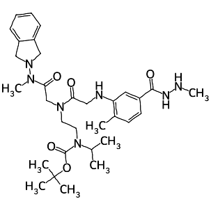 CNNC(=O)c1ccc(C)c(NCC(=O)N(CCN(C(=O)OC(C)(C)C)C(C)C)CC(=O)N(C)N2Cc3ccccc3C2)c1